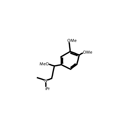 COc1ccc(C(CN(C)C(C)C)OC)cc1OC